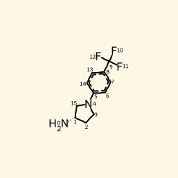 N[C@H]1CCN(c2ccc(C(F)(F)F)cc2)C1